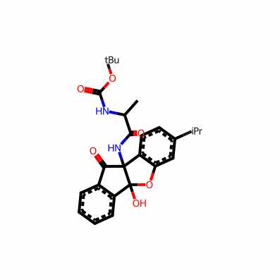 CC(NC(=O)OC(C)(C)C)C(=O)NC12C(=O)c3ccccc3C1(O)Oc1cc(C(C)C)ccc12